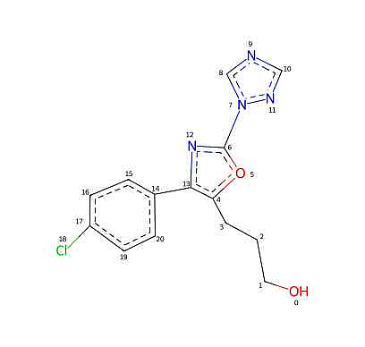 OCCCc1oc(-n2cncn2)nc1-c1ccc(Cl)cc1